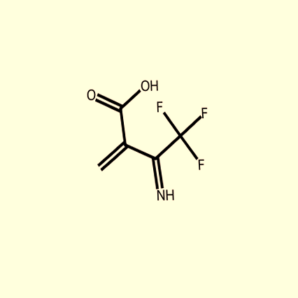 C=C(C(=N)C(F)(F)F)C(=O)O